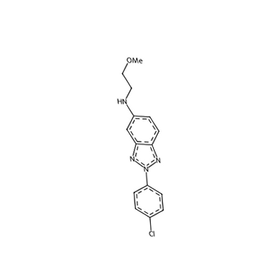 COCCNc1ccc2nn(-c3ccc(Cl)cc3)nc2c1